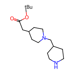 CC(C)(C)OC(=O)CC1CCN(CC2CCNCC2)CC1